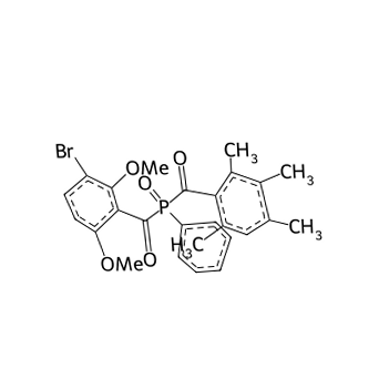 COc1ccc(Br)c(OC)c1C(=O)P(=O)(C(=O)c1c(C)cc(C)c(C)c1C)c1ccccc1